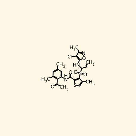 C=CC(Nc1onc(C)c1Cl)S(=O)(=O)c1c(C)csc1C(=O)Nc1cc(C)cc(C)c1C(C)=O